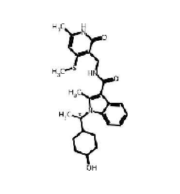 CSc1cc(C)[nH]c(=O)c1CNC(=O)c1c(C)n([C@H](C)C2CCC(O)CC2)c2ccccc12